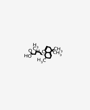 C[C@@H](CC[C@H]1[C@@H](C)CC=C2C(C)(C)CC=C[C@@]21C)CC(=O)O